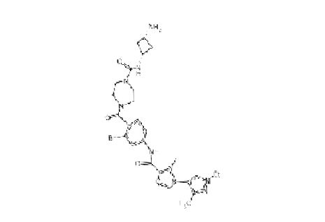 CCn1cc(-c2cnc(C(=O)Nc3ccc(C(=O)N4CCN(C(=O)N[C@H]5C[C@@H](N)C5)CC4)c(Br)c3)n2C)c(C(F)(F)F)n1